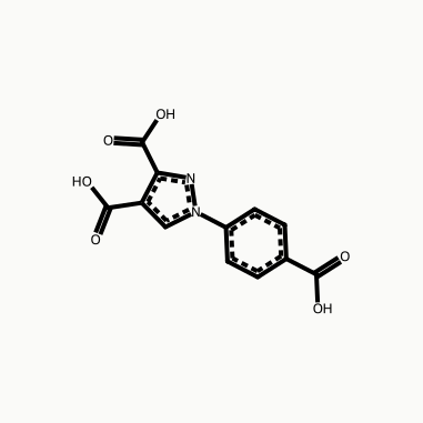 O=C(O)c1ccc(-n2cc(C(=O)O)c(C(=O)O)n2)cc1